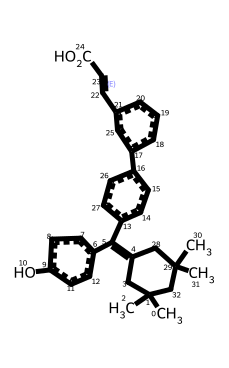 CC1(C)CC(=C(c2ccc(O)cc2)c2ccc(-c3cccc(/C=C/C(=O)O)c3)cc2)CC(C)(C)C1